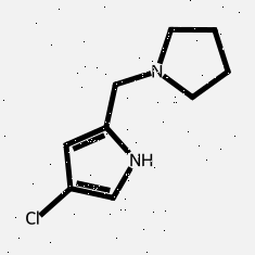 Clc1c[nH]c(CN2CCCC2)c1